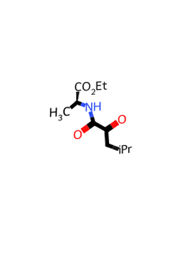 CCOC(=O)[C@H](C)NC(=O)C(=O)CC(C)C